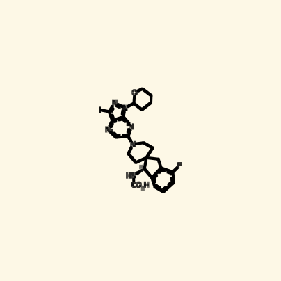 O=C(O)N[C@@H]1c2cccc(F)c2CC12CCN(c1cnc3c(I)nn(C4CCCCO4)c3n1)CC2